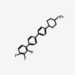 CCCC1CCC(c2ccc(-c3ccc(-c4ccc(F)c(F)c4F)cc3)cc2)CC1